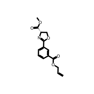 C=CCOC(=O)c1cccc(C2=N[C@H](C(=O)OC)CO2)c1